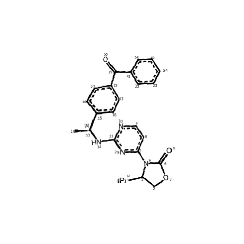 CC(C)C1COC(=O)N1c1ccnc(N[C@@H](C)c2ccc(C(=O)c3ccccc3)cc2)n1